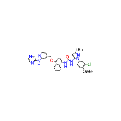 COc1ccc(-n2nc(C(C)(C)C)cc2NC(=O)Nc2ccc(OCc3ccnc(Nc4cnccn4)c3)c3ccccc23)cc1Cl